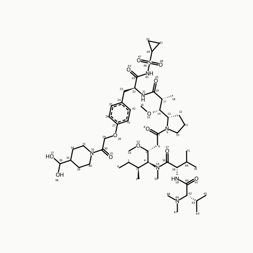 CC[C@H](C)[C@@H]([C@@H](CC(=O)N1CCC[C@H]1[C@H](OC)[C@@H](C)C(=O)N[C@@H](Cc1ccc(OCC(=O)N2CCC(C(O)O)CC2)cc1)C(=O)NS(=O)(=O)C1CC1)OC)N(C)C(=O)[C@@H](NC(=O)[C@H](C(C)C)N(C)C)C(C)C